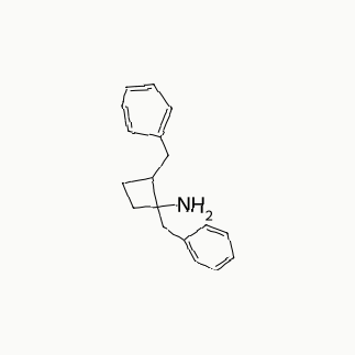 NC1(Cc2ccccc2)CCC1Cc1ccccc1